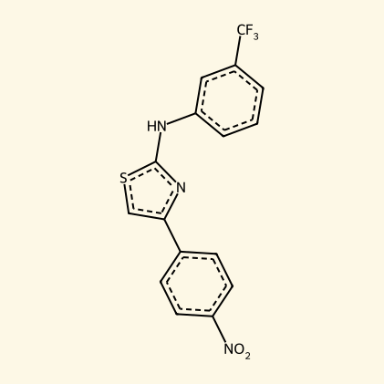 O=[N+]([O-])c1ccc(-c2csc(Nc3cccc(C(F)(F)F)c3)n2)cc1